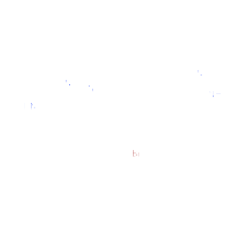 CNc1cc2cc(-c3c(Br)ccc4[nH]ncc34)ccn2n1